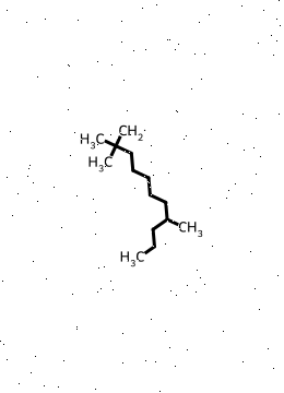 [CH2]C(C)(C)CCCCCC(C)CCC